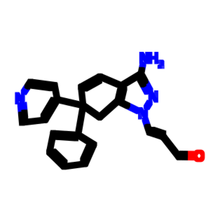 Nc1nn(C=CC=O)c2c1C=CC(c1ccccc1)(c1ccncc1)C2